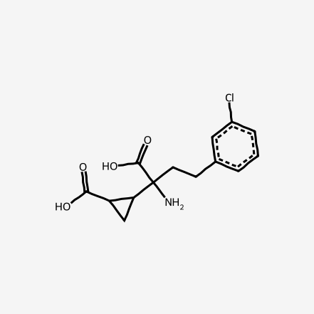 NC(CCc1cccc(Cl)c1)(C(=O)O)C1CC1C(=O)O